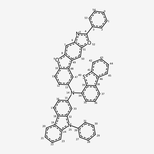 c1ccc(-c2nc3cc4oc5ccc(N(c6ccc7c8ccccc8n(-c8ccccc8)c7c6)c6cccc7c6sc6ccccc67)cc5c4cc3o2)cc1